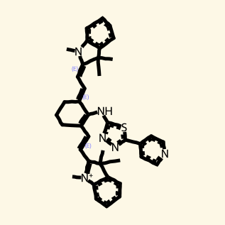 CN1/C(=C/C=C2\CCCC(/C=C/C3=[N+](C)c4ccccc4C3(C)C)=C2Nc2nnc(-c3ccncc3)s2)C(C)(C)c2ccccc21